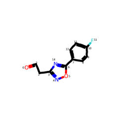 O=CCc1noc(-c2ccc(F)cc2)n1